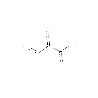 N=CC(=N)C(=O)O